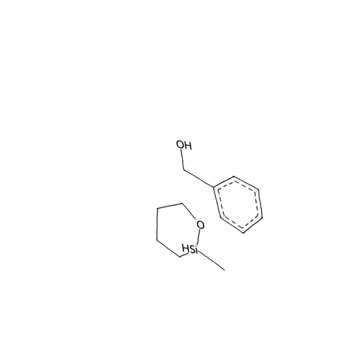 C[SiH]1CCCCO1.OCc1ccccc1